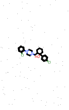 OC1(c2ccc(Cl)cc2)CCCCC1CN1CCN(c2ccccc2Cl)CC1